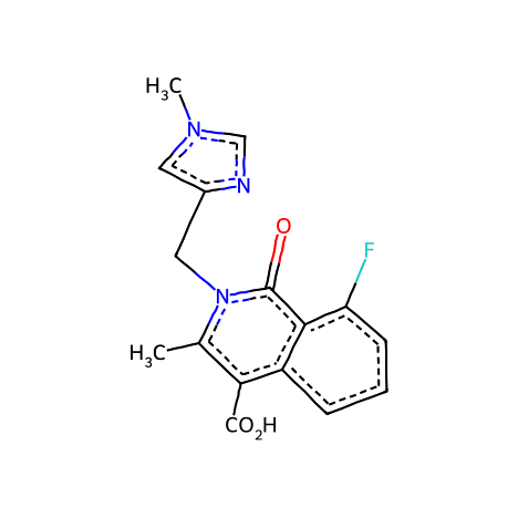 Cc1c(C(=O)O)c2cccc(F)c2c(=O)n1Cc1cn(C)cn1